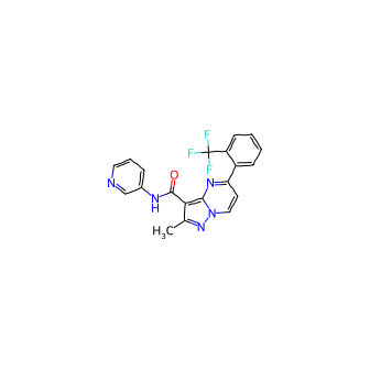 Cc1nn2ccc(-c3ccccc3C(F)(F)F)nc2c1C(=O)Nc1cccnc1